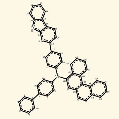 c1ccc(-c2ccc(N(c3ccc(-c4ccc5c(n4)oc4ccccc45)cc3)c3cc4ccc5ccccc5c4c4ccccc34)cc2)cc1